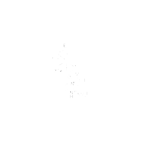 CC(Oc1ccc2c(-c3ccc(F)cc3Cl)cc(=O)oc2c1)C(=O)N1CCN[C@@H](C(=O)O)C1